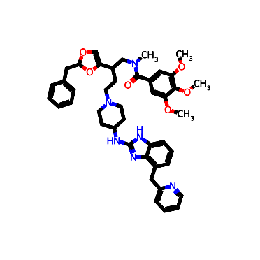 COc1cc(C(=O)N(C)CC(CCN2CCC(Nc3nc4c(Cc5ccccn5)cccc4[nH]3)CC2)C2=COC(Cc3ccccc3)O2)cc(OC)c1OC